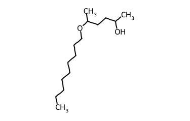 CCCCCCCCCOC(C)CCC(C)O